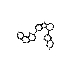 c1ccc2c(c1)ccc1ccc(-c3ccc4sc5cccc(-c6ccc7cnccc7c6)c5c4c3)nc12